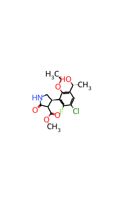 CCOc1c([C@@H](C)O)cc(Cl)c(F)c1[C@@H]1CNC(=O)C1C(=O)OC